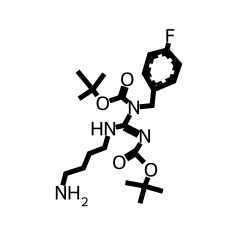 CC(C)(C)OC(=O)N=C(NCCCCN)N(Cc1ccc(F)cc1)C(=O)OC(C)(C)C